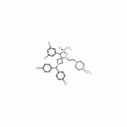 CN1CCN(CCSC2(C(c3cc(F)cc(F)c3)S(C)(=O)=O)CN(C(c3ccc(Cl)cc3)c3ccc(Cl)cc3)C2)CC1